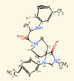 CC(C)C(Nc1cc(C(F)(F)F)ccc1F)C(=O)N1CCC2(CC1)C(=O)N(C)CN2c1ccc(C(=O)O)cc1